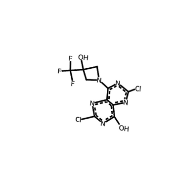 Oc1nc(Cl)nc2c(N3CC(O)(C(F)(F)F)C3)nc(Cl)nc12